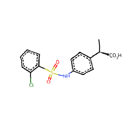 C[C@@H](C(=O)O)c1ccc(NS(=O)(=O)c2ccccc2Cl)cc1